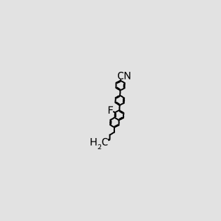 C=CCCc1ccc2c(F)c(-c3ccc(-c4ccc(C#N)cc4)cc3)ccc2c1